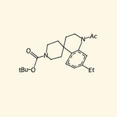 CCc1ccc2c(c1)N(C(C)=O)CCC21CCN(C(=O)OC(C)(C)C)CC1